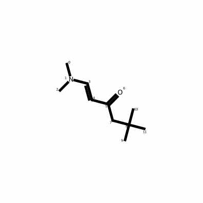 CN(C)C=CC(=O)CC(C)(C)C